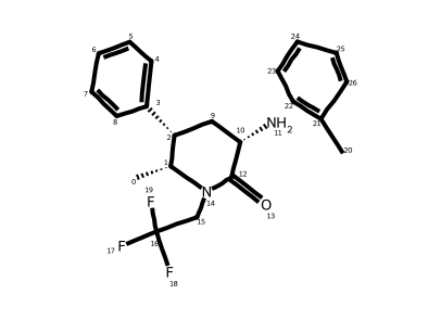 C[C@@H]1[C@H](c2ccccc2)C[C@H](N)C(=O)N1CC(F)(F)F.Cc1ccccc1